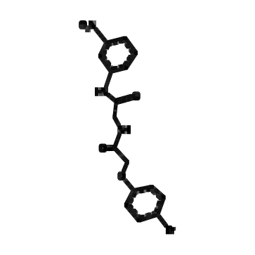 O=C(COc1ccc(Br)cc1)NCC(=O)Nc1cccc([N+](=O)[O-])c1